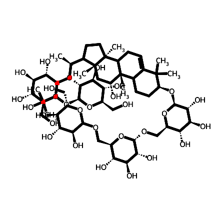 C[C@H](CC[C@@H](O[C@@H]1O[C@H](CO)[C@@H](O)[C@H](O)[C@H]1O[C@H]1O[C@@H](CO)[C@H](O)[C@@H](O)[C@@H]1O)C(C)(C)O)C1CC[C@@]2(C)C3CC=C4C(CC[C@H](O[C@@H]5O[C@H](CO[C@H]6O[C@H](COC7O[C@@H](CO)[C@H](O)[C@@H](O)[C@@H]7O)[C@@H](O)[C@H](O)[C@H]6O)[C@@H](O)[C@H](O)[C@H]5O)C4(C)C)[C@]3(C)[C@H](O)C[C@]12C